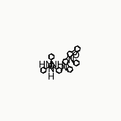 c1ccc(C2NC(c3ccccc3)NC(c3cccc(-n4c5ccccc5c5c4ccc4c6ccc7c8ccccc8oc7c6n(-c6ccccc6)c45)c3)N2)cc1